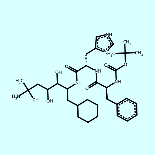 CC(C)(N)CC(O)C(O)C(CC1CCCCC1)NC(=O)[C@H](Cc1c[nH]cn1)NC(=O)[C@H](Cc1ccccc1)NC(=O)OC(C)(C)C